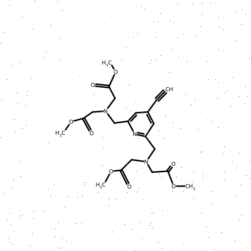 C#Cc1cc(CN(CC(=O)OC)CC(=O)OC)nc(CN(CC(=O)OC)CC(=O)OC)c1